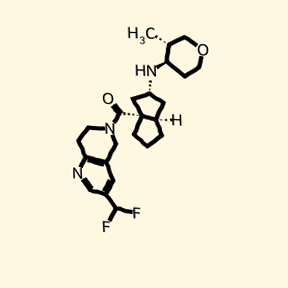 C[C@@H]1COCC[C@H]1N[C@@H]1C[C@H]2CCC[C@@]2(C(=O)N2CCc3ncc(C(F)F)cc3C2)C1